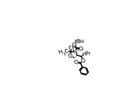 CCC[C@@H](OC(=O)c1ccccc1)[C@@H]1COC(C)(C)N1C(=O)OC(C)(C)C